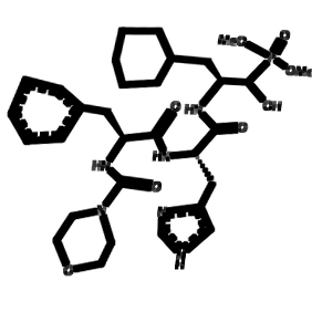 COP(=O)(OC)C(O)[C@H](CC1CCCCC1)NC(=O)[C@H](Cc1c[nH]cn1)NC(=O)[C@H](Cc1ccccc1)NC(=O)N1CCOCC1